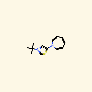 CC(C)(C)[n+]1csc(N2C=CC=CC=C2)c1